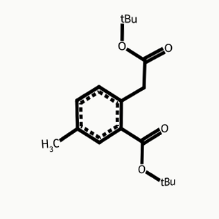 Cc1ccc(CC(=O)OC(C)(C)C)c(C(=O)OC(C)(C)C)c1